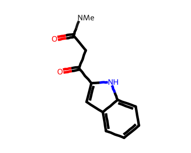 CNC(=O)CC(=O)c1cc2ccccc2[nH]1